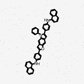 c1ccc(-n2c(-c3ccc(Nc4cccc5ccccc45)cc3)cc3cc4oc(-c5ccc(Nc6cccc7ccccc67)cc5)cc4cc32)cc1